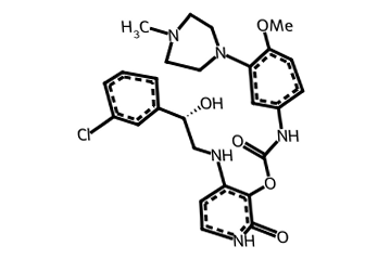 COc1ccc(NC(=O)Oc2c(NC[C@@H](O)c3cccc(Cl)c3)cc[nH]c2=O)cc1N1CCN(C)CC1